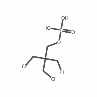 O=P(O)(O)OCC(CCl)(CCl)CCl